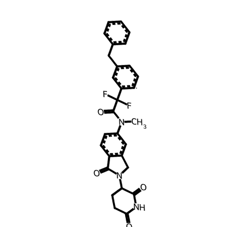 CN(C(=O)C(F)(F)c1[c]ccc(Cc2ccccc2)c1)c1ccc2c(c1)CN(C1CCC(=O)NC1=O)C2=O